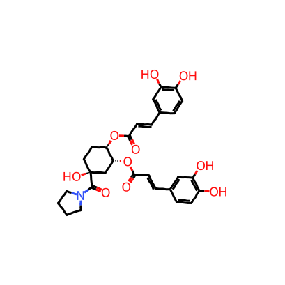 O=C(/C=C/c1ccc(O)c(O)c1)O[C@@H]1CC[C@@](O)(C(=O)N2CCCC2)C[C@H]1OC(=O)/C=C/c1ccc(O)c(O)c1